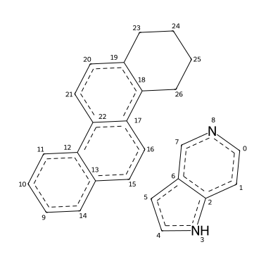 c1cc2[nH]ccc2cn1.c1ccc2c(c1)ccc1c3c(ccc12)CCCC3